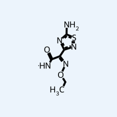 CCON=C(C([NH])=O)c1nsc(N)n1